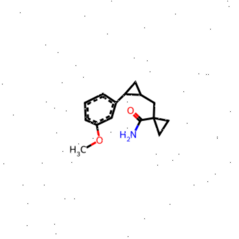 COc1cccc(C2CC2CC2(C(N)=O)CC2)c1